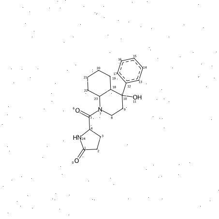 O=C1CCC(C(=O)N2CCC(O)(c3ccccc3)C3CCCCC32)N1